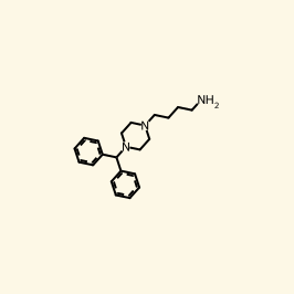 NCCCCN1CCN(C(c2ccccc2)c2ccccc2)CC1